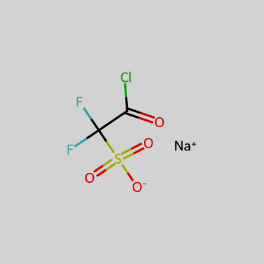 O=C(Cl)C(F)(F)S(=O)(=O)[O-].[Na+]